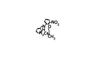 CN(C)CCOc1c(NCc2ccccc2)cccc1[N+](=O)[O-]